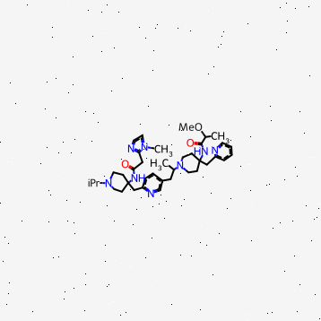 COC(C)C(=O)NC1(Cc2ccccn2)CCN(C(C)Cc2ccc(CC3(NC(=O)Cc4nccn4C)CCN(C(C)C)CC3)nc2)CC1